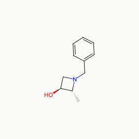 C[C@@H]1[C@@H](O)CN1Cc1ccccc1